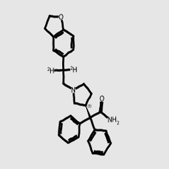 [2H]C([2H])(CN1CC[C@@H](C(C(N)=O)(c2ccccc2)c2ccccc2)C1)c1ccc2c(c1)CCO2